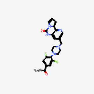 CNC(=O)c1cc(F)c(N2CCN(Cc3cnc4c(c3)[nH]c(=O)n3cccc43)CC2)c(F)c1